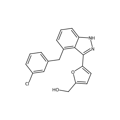 OCc1ccc(-c2n[nH]c3cccc(Cc4cccc(Cl)c4)c23)o1